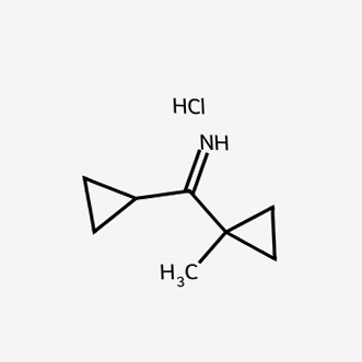 CC1(C(=N)C2CC2)CC1.Cl